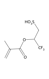 C=C(C)C(=O)OC(CS(=O)(=O)O)C(F)(F)F